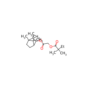 CCC(C)(C)C(=O)OCC(=O)OC1C2CCC(C)(C1C)C2(C)C